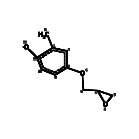 Cc1cc(OCC2CO2)ccc1[O]